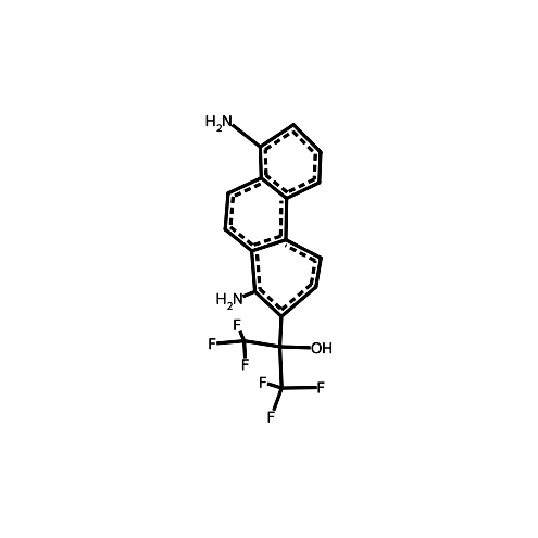 Nc1cccc2c1ccc1c(N)c(C(O)(C(F)(F)F)C(F)(F)F)ccc12